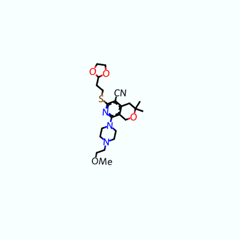 COCCN1CCN(c2nc(SCCC3OCCO3)c(C#N)c3c2COC(C)(C)C3)CC1